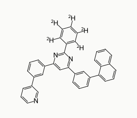 [2H]c1c([2H])c([2H])c(-c2nc(-c3cccc(-c4cccnc4)c3)cc(-c3cccc(-c4cccc5ccccc45)c3)n2)c([2H])c1[2H]